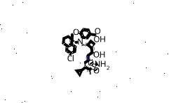 C[C@@H]([C@H](C/C=C/[C@H](O)[C@@H]1CC[C@H]1CN1C[C@@]2(CCCc3cc(Cl)ccc32)COc2ccc(C(=O)O)cc21)C1CC1)S(N)(=O)=O